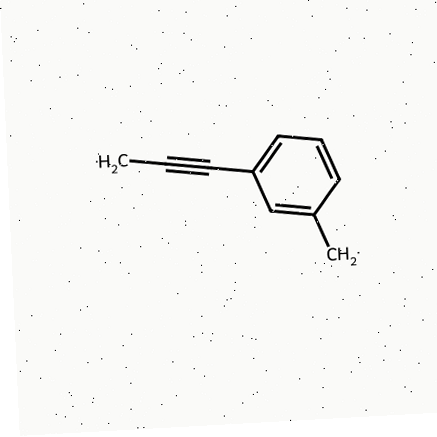 [CH2]C#Cc1cccc([CH2])c1